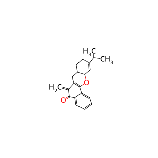 C=C1C(=O)c2ccccc2C2=C1CC1CCC(C(C)C)=CC1O2